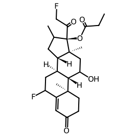 CCC(=O)O[C@]1(C(=O)CF)C(C)C[C@H]2[C@@H]3CC(F)C4=CC(=O)CC[C@]4(C)[C@H]3C(O)C[C@@]21C